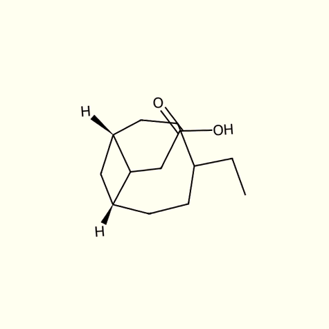 CCC1CC[C@@H]2C[C@H](CC1)C2CC(=O)O